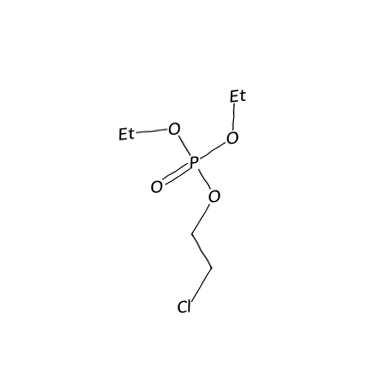 CCOP(=O)(OCC)OCCCl